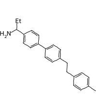 CCC(N)c1ccc(-c2ccc(CCc3ccc(C)cc3)cc2)cc1